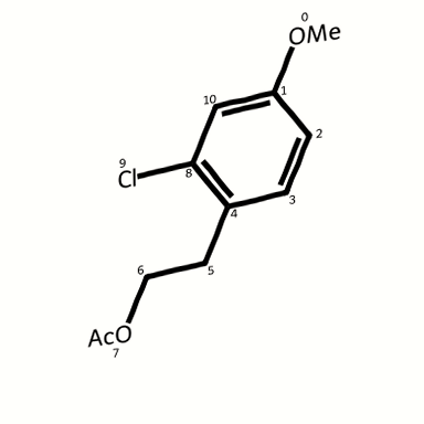 COc1ccc(CCOC(C)=O)c(Cl)c1